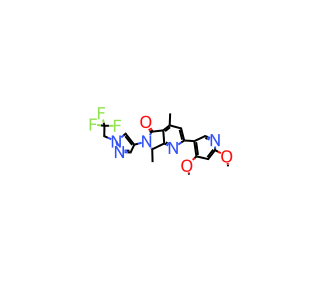 COc1cc(OC)c(-c2cc(C)c3c(n2)C(C)N(c2cnn(CC(F)(F)F)c2)C3=O)cn1